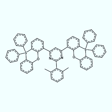 Cc1cccc(C)c1-c1nc(-c2cccc3c2Oc2ccccc2S3(c2ccccc2)c2ccccc2)cc(-c2cccc3c2Oc2ccccc2S3(c2ccccc2)c2ccccc2)n1